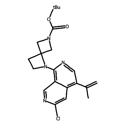 C=C(C)c1cnc(N2CCC23CN(C(=O)OC(C)(C)C)C3)c2cnc(Cl)cc12